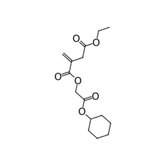 C=C(CC(=O)OCC)C(=O)OCC(=O)OC1CCCCC1